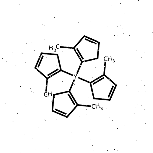 CC1=[C]([Y]([C]2=C(C)C=CC2)([C]2=C(C)C=CC2)[C]2=C(C)C=CC2)CC=C1